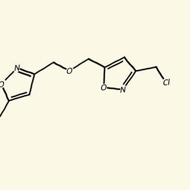 CCc1cc(COCc2cc(CCl)no2)no1